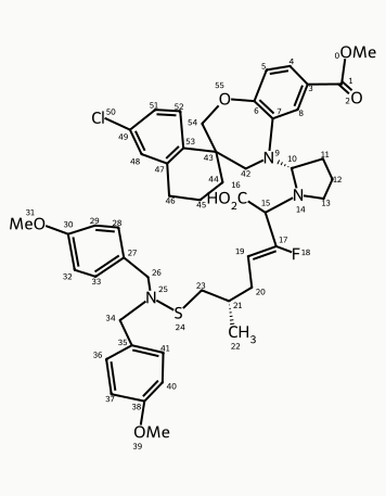 COC(=O)c1ccc2c(c1)N([C@@H]1CCCN1C(C(=O)O)/C(F)=C/C[C@H](C)CSN(Cc1ccc(OC)cc1)Cc1ccc(OC)cc1)CC1(CCCc3cc(Cl)ccc31)CO2